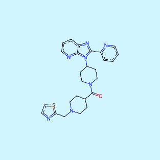 O=C(C1CCN(Cc2nccs2)CC1)N1CCC(n2c(-c3ccccn3)nc3cccnc32)CC1